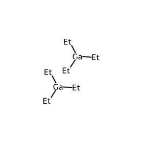 C[CH2][Ga]([CH2]C)[CH2]C.C[CH2][Ga]([CH2]C)[CH2]C